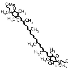 COCCN(C)C1CC(C)(C)C(/C=C/C(C)=C/C=C/C(C)=C/C=C/C=C(C)/C=C/C=C(C)/C=C/C2=C(C)C(=O)C(N(C)CCOC)CC2(C)C)=C(C)C1=O